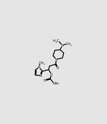 CCCCC(=O)OC(CC(=O)N1CCC(N(C)C)CC1)c1nccn1C